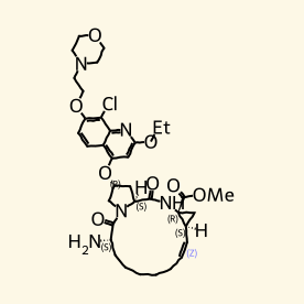 CCOc1cc(O[C@@H]2C[C@H]3C(=O)N[C@]4(C(=O)OC)C[C@H]4/C=C\CCCCC[C@H](N)C(=O)N3C2)c2ccc(OCCN3CCOCC3)c(Cl)c2n1